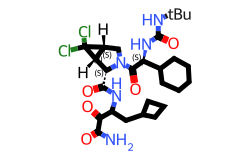 CC(C)(C)NC(=O)N[C@H](C(=O)N1C[C@@H]2[C@H]([C@H]1C(=O)NC(CC1CCC1)C(=O)C(N)=O)C2(Cl)Cl)C1CCCCC1